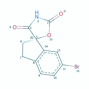 O=C1NC(=O)[C@@]2(CCc3ccc(Br)cc32)O1